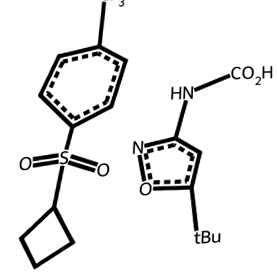 CC(C)(C)c1cc(NC(=O)O)no1.O=S(=O)(c1ccc(C(F)(F)F)cc1)C1CCC1